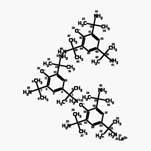 CC(C)(N)c1cc(C(C)(C)N)c([O-])c(C(C)(C)N)c1.CC(C)(N)c1cc(C(C)(C)N)c([O-])c(C(C)(C)N)c1.CC(C)(N)c1cc(C(C)(C)N)c([O-])c(C(C)(C)N)c1.[La+3]